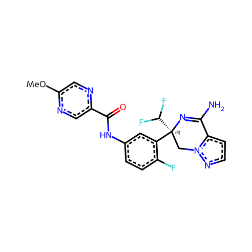 COc1cnc(C(=O)Nc2ccc(F)c([C@]3(C(F)F)Cn4nccc4C(N)=N3)c2)cn1